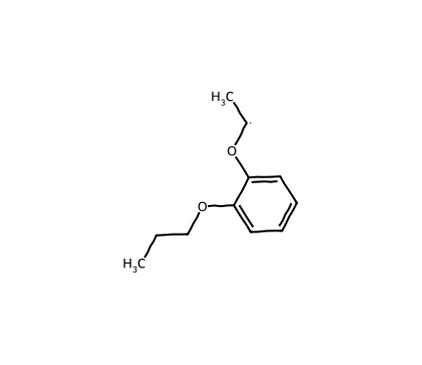 C[CH]Oc1ccccc1OCCC